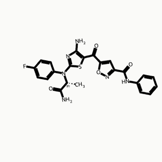 C[C@H](C(N)=O)N(c1ccc(F)cc1)c1nc(N)c(C(=O)c2cc(C(=O)Nc3ccccc3)no2)s1